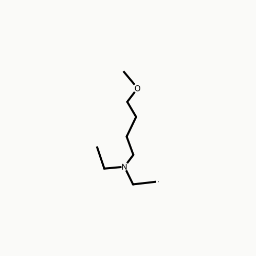 [CH2]CN(CC)CCCCOC